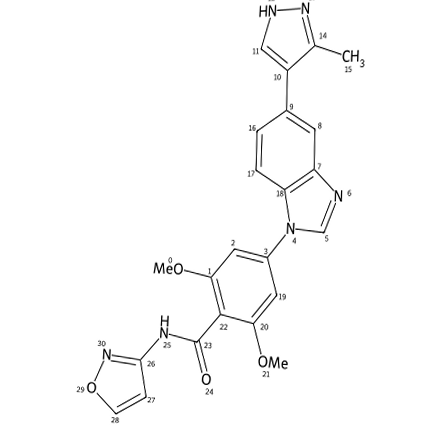 COc1cc(-n2cnc3cc(-c4c[nH]nc4C)ccc32)cc(OC)c1C(=O)Nc1ccon1